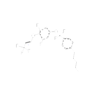 CCCCCc1ccc(C(F)(F)Oc2cc(F)c(O/C=C/C(F)(F)F)c(F)c2)cc1